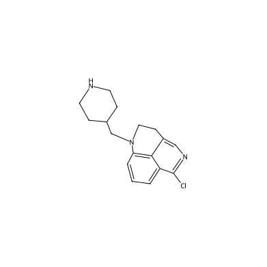 Clc1ncc2c3c(cccc13)N(CC1CCNCC1)CC2